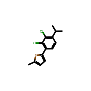 Cc1ccc(-c2c[c]c(C(C)C)c(Cl)c2Cl)s1